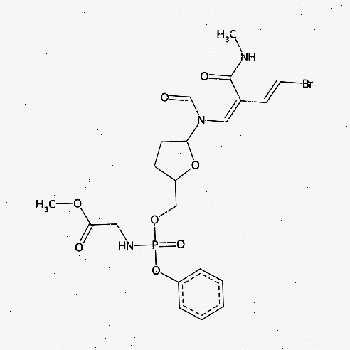 CNC(=O)C(=C\N(C=O)C1CCC(COP(=O)(NCC(=O)OC)Oc2ccccc2)O1)/C=C/Br